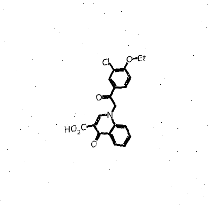 CCOc1ccc(C(=O)Cn2cc(C(=O)O)c(=O)c3ccccc32)cc1Cl